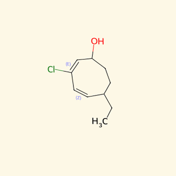 CCC1/C=C\C(Cl)=C/C(O)CC1